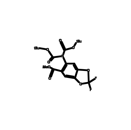 COC(=O)c1cc2c(cc1N(C(=O)OC(C)(C)C)C(=O)OC(C)(C)C)OC(F)(F)O2